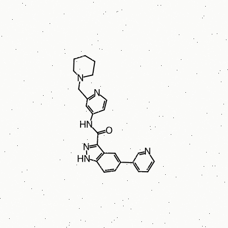 O=C(Nc1ccnc(CN2CCCCC2)c1)c1n[nH]c2ccc(-c3cccnc3)cc12